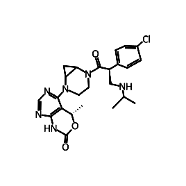 CC(C)NC[C@@H](C(=O)N1CCN(c2ncnc3c2[C@H](C)OC(=O)N3)C2CC21)c1ccc(Cl)cc1